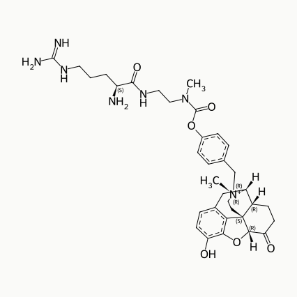 CN(CCNC(=O)[C@@H](N)CCCNC(=N)N)C(=O)Oc1ccc(C[N@@+]2(C)CC[C@]34c5c6ccc(O)c5O[C@H]3C(=O)CC[C@H]4[C@H]2C6)cc1